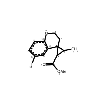 COC(=O)C1C(C)C12CCOc1ccc(I)cc12